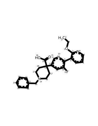 CCOc1ncccc1-c1ncc(C2(C(=O)O)CCN(Cc3ccccc3)CC2)cc1F